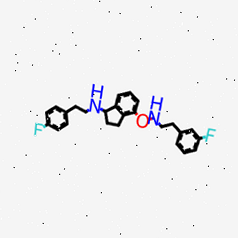 Fc1ccc(CCNC2CCc3c(ONCCc4cccc(F)c4)cccc32)cc1